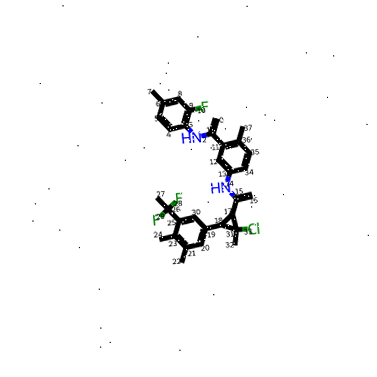 C=C(Nc1ccc(C)cc1F)c1cc(NC(=C)C2C(c3cc(C)c(C)c(C(C)(F)F)c3)C2(C)Cl)ccc1C